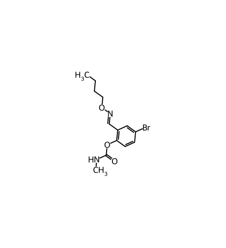 CCCCON=Cc1cc(Br)ccc1OC(=O)NC